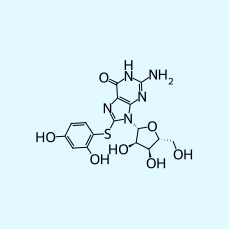 Nc1nc2c(nc(Sc3ccc(O)cc3O)n2[C@@H]2O[C@H](CO)[C@@H](O)[C@H]2O)c(=O)[nH]1